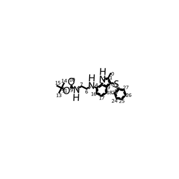 Cc1[nH]c2c(NCCNC(=O)OC(C)(C)C)cccc2c1Sc1ccccc1